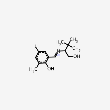 Cc1cc(I)cc(/C=N/C(CO)C(C)(C)C)c1O